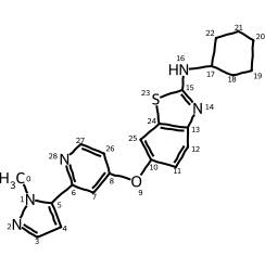 Cn1nccc1-c1cc(Oc2ccc3nc(NC4CCCCC4)sc3c2)ccn1